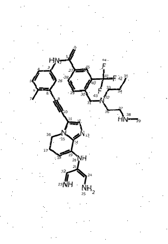 C=C(Nc1ccc(C)c(C#Cc2cnc3n2CCC=C3N/C(C=N)=C/N)c1)c1ccc(CN(CCC)CCNC)c(C(F)(F)F)c1